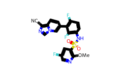 COc1ncc(F)cc1S(=O)(=O)Nc1ccc(F)c(-c2ccc3c(C#N)ncn3c2)c1F